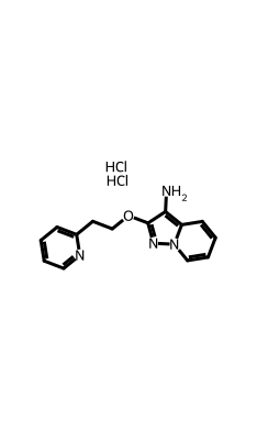 Cl.Cl.Nc1c(OCCc2ccccn2)nn2ccccc12